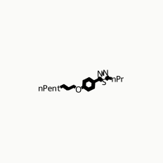 CCCCCC=CCOc1ccc(-c2nnc(CCC)s2)cc1